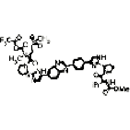 COC(=O)N[C@H](C(=O)N1CCC[C@H]1c1nc(-c2ccc(-c3cnc4cc(-c5cnc([C@@H]6CCCN6C(=O)[C@H](CCS(C)(=O)=O)N(C)C(=O)OC(=O)C(F)(F)F)[nH]5)ccc4n3)cc2)c[nH]1)C(C)C